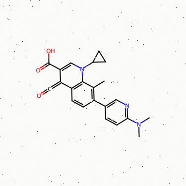 Cc1c(-c2ccc(N(C)C)nc2)ccc2c1N(C1CC1)C=C(C(=O)O)C2=C=O